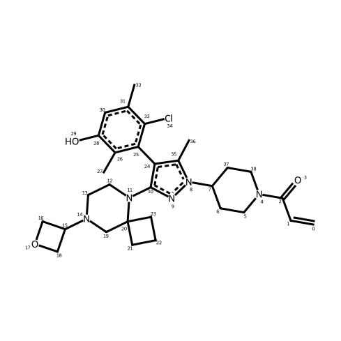 C=CC(=O)N1CCC(n2nc(N3CCN(C4COC4)CC34CCC4)c(-c3c(C)c(O)cc(C)c3Cl)c2C)CC1